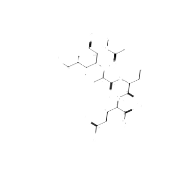 CCC(NC(=O)C(C)O[C@@H]([C@H](O)[C@H](O)CO)[C@H](C=O)N(C)C(C)=O)C(=O)NC(CCC(=O)O)C(N)=O